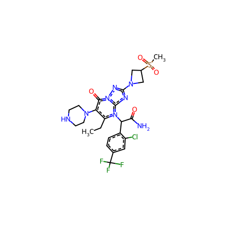 CCc1c(N2CCNCC2)c(=O)n2nc(N3CC(S(C)(=O)=O)C3)nc2n1C(C(N)=O)c1ccc(C(F)(F)F)cc1Cl